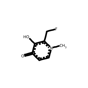 Cn1ccc(=O)c(O)c1CF